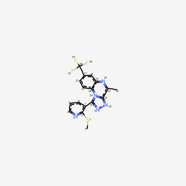 CSc1ncccc1-c1nnc2c(C)nc3cc(C(F)(F)F)ccc3n12